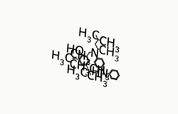 CC(C)CC(C)N(Cc1cc(C(C)(C)C)cc(C(C)(C)C)c1O)c1ccc(Nc2ccccc2)cc1